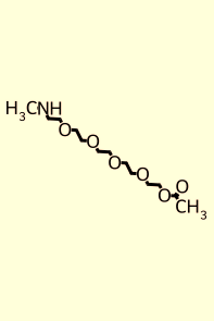 CNCCOCCOCCOCCOCCOC(C)=O